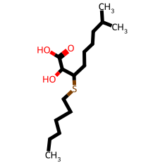 CCCCCCSC(CCCCC(C)C)C(O)C(=O)O